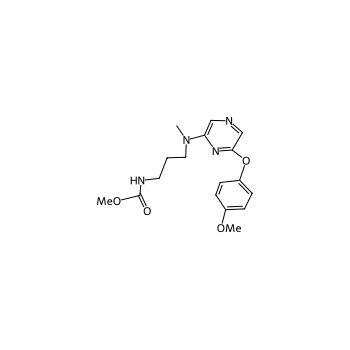 COC(=O)NCCCN(C)c1cncc(Oc2ccc(OC)cc2)n1